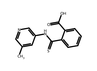 Cc1cncc(NC(=S)c2ccccc2C(=O)O)c1